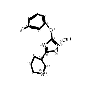 Cl.Fc1cccc(Oc2noc(C3CCCNC3)n2)c1